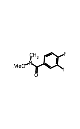 CON(C)C(=O)c1ccc(F)c(I)c1